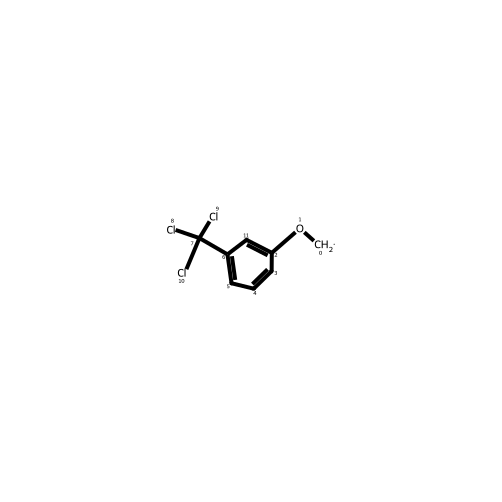 [CH2]Oc1cccc(C(Cl)(Cl)Cl)c1